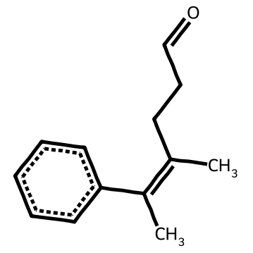 CC(CCC=O)=C(C)c1ccccc1